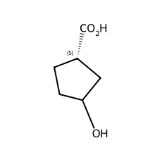 O=C(O)[C@H]1CCC(O)C1